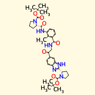 Cc1c(NC(=O)[C@@H]2CCCN2C(=O)OC(C)(C)C)cccc1C(=O)NCC(=O)c1ccc2nc([C@@H]3CCCN3C(=O)OC(C)(C)C)[nH]c2c1